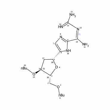 CCCCOC[C@H]1O[C@@H](c2cnc(/C(N)=N\C(=N)N)[nH]2)C[C@@H]1OCCCC